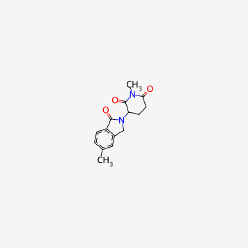 Cc1ccc2c(c1)CN(C1CCC(=O)N(C)C1=O)C2=O